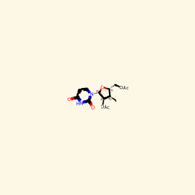 CC(=O)OC[C@H]1O[C@@H](n2ccc(=O)[nH]c2=O)[C@H](OC(C)=O)[C@@H]1C